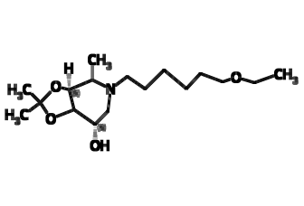 CCOCCCCCCN1C[C@H](O)C2OC(C)(C)O[C@H]2C1C